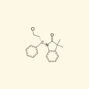 CC1(C)C(=O)N([C@@H](CCCl)c2ccccc2)c2ccccc21